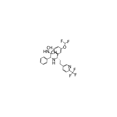 C=C(NC)[C@H](N[C@@H](CCc1ccc(C(F)(F)F)nc1)c1cccc(OC(F)F)c1)c1ccccc1